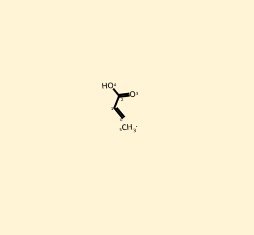 C=CC(=O)O.[CH3]